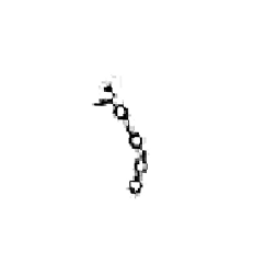 CC#CC(CC(=O)O)c1ccc(OCc2ccc(CN3CCN(c4ccccc4)CC3)cc2)cc1